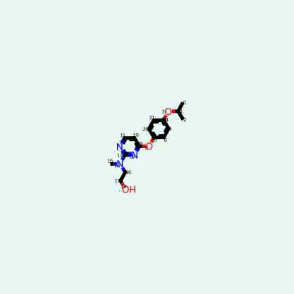 CC(C)Oc1ccc(Oc2ccnc(N(C)CCO)n2)cc1